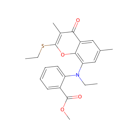 CCSc1oc2c(N(CC)c3ccccc3C(=O)OC)cc(C)cc2c(=O)c1C